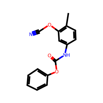 Cc1ccc(NC(=O)Oc2ccccc2)cc1OC#N